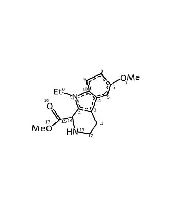 CCn1c2c(c3cc(OC)ccc31)CCNC2C(=O)OC